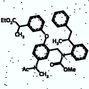 CCOC(=O)C(C)c1cccc(Oc2ccc(N(C)C(C)=O)cc2CN(C(=O)OC)c2ccccc2[C@@H](C)Cc2ccccc2)c1